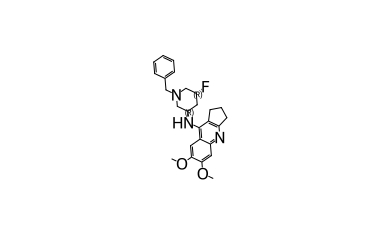 COc1cc2nc3c(c(N[C@@H]4C[C@@H](F)CN(Cc5ccccc5)C4)c2cc1OC)CCC3